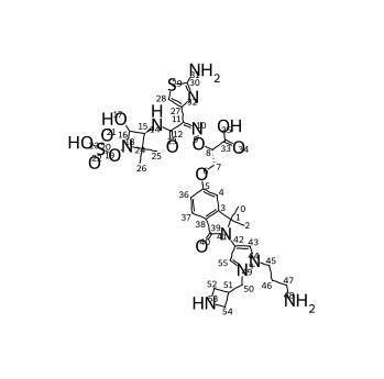 CC1(C)c2cc(OC[C@H](O/N=C(\C(=O)N[C@@H]3C(O)N(OS(=O)(=O)O)C3(C)C)c3csc(N)n3)C(=O)O)ccc2C(=O)N1c1cn(CCCN)[n+](CC2CNC2)c1